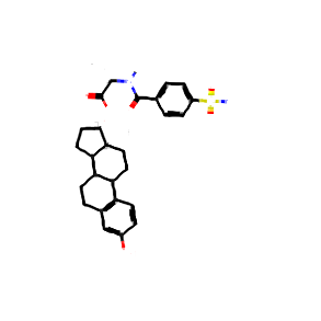 C[C@@H](C(=O)O[C@H]1CCC2C3CCc4cc(O)ccc4C3CC[C@@]21C)N(C)C(=O)c1ccc(S(N)(=O)=O)cc1